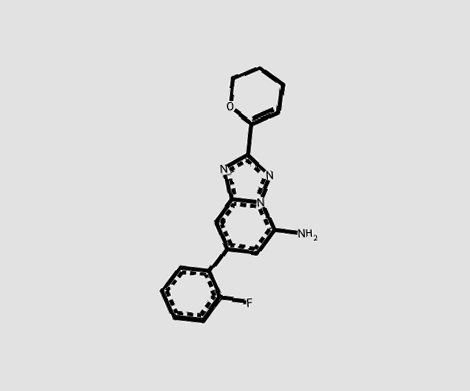 Nc1cc(-c2ccccc2F)cc2nc(C3=CCCCO3)nn12